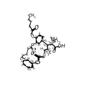 CCCCC(=O)Oc1ccc(C(C(C)COC(=O)Oc2ccccc2)[C@H](N)C(=O)O)cc1OC(=O)CCCC